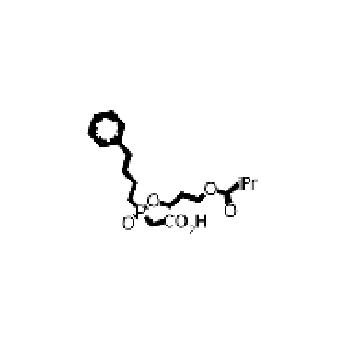 CC(C)C(=O)OCCCOP(=O)(CCCCc1ccccc1)CC(=O)O